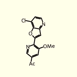 COc1cc(C(C)=O)cnc1-c1cc2nccc(Cl)c2o1